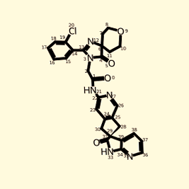 O=C(CN1C(=O)C2(CCOCC2)N=C1c1ccccc1Cl)Nc1cc2c(cn1)C[C@]1(C2)C(=O)Nc2ncccc21